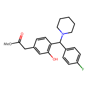 COC(=O)Cc1ccc(C(c2ccc(F)cc2)N2CCCCC2)c(O)c1